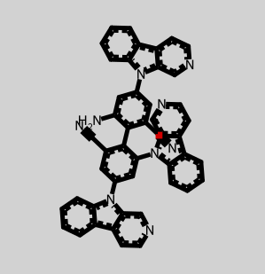 N#Cc1cc(-n2c3ccccc3c3ccncc32)cc(N)c1-c1c(C#N)cc(-n2c3ccccc3c3ccncc32)cc1-n1c2ccccc2c2ccncc21